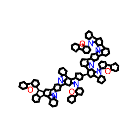 c1ccc2c(c1)-c1c(cc3c4cc5c(cc4n4c6ccccc6c1c34)c1cc3c(c4ccc(-c6cc7c8ccccc8n(-c8cccc9c8oc8ccccc89)c7c7c6c6cccc8c9cc%10c(cc9n7c86)c6cccc7c8ccc9c%11ccccc%11n(-c%11cccc%12c%11oc%11ccccc%11%12)c9c8n%10c67)cc4n3-c3cccc4c3oc3ccccc34)c3c4ccccc4n5c13)C2c1cccc2c1oc1ccccc12